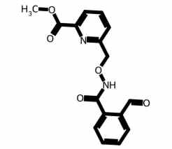 COC(=O)c1cccc(CONC(=O)c2ccccc2C=O)n1